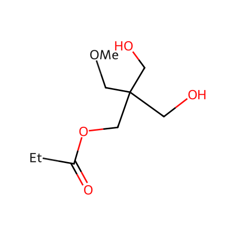 CCC(=O)OCC(CO)(CO)COC